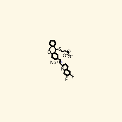 O=S(=O)([O-])CCSC1c2ccccc2COc2ccc(/C=C/c3ccc4cc(F)c(F)cc4n3)cc21.[Na+]